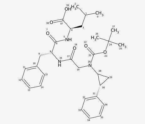 CC(C)C[C@@H](NC(=O)[C@@H](Cc1ccccc1)NC(=O)CN(C(=O)OC(C)(C)C)C1C[C@@H]1c1ccccc1)C(=O)O